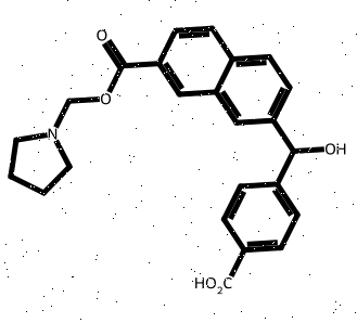 O=C(O)c1ccc(C(O)c2ccc3ccc(C(=O)OCN4CCCC4)cc3c2)cc1